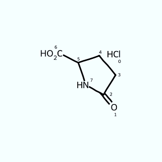 Cl.O=C1CCC(C(=O)O)N1